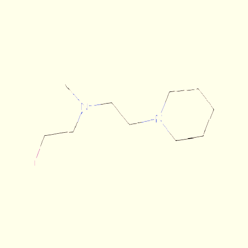 CN(CCI)CCN1CCCCC1